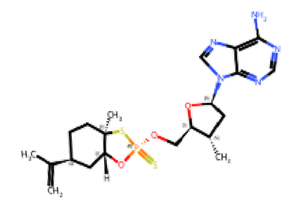 C=C(C)[C@H]1CC[C@@]2(C)S[P@](=S)(OC[C@H]3O[C@@H](n4cnc5c(N)ncnc54)C[C@@H]3C)O[C@@H]2C1